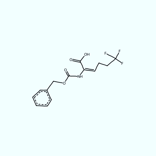 O=C(NC(=CCCC(F)(F)F)C(=O)O)OCc1ccccc1